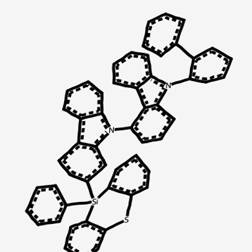 c1ccc(-c2ccccc2-n2c3ccccc3c3c(-n4c5ccccc5c5ccc([Si]6(c7ccccc7)c7ccccc7Sc7ccccc76)cc54)cccc32)cc1